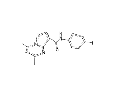 Cc1cc(C)n2ccc(C(=O)Nc3ccc(I)cc3)c2n1